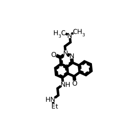 CCNCCNc1ccc2c(=O)n(CCN(C)C)nc3c2c1C(=O)c1ccccc1-3